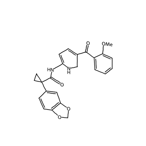 COc1ccccc1C(=O)C1=CC=C(NC(=O)C2(c3ccc4c(c3)OCO4)CC2)NC1